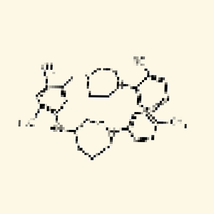 Cc1ccc(N2CCCC(Nc3cc(CN4CCN(c5ccccc5C#N)CC4)c(C)cc3C)CC2)cc1